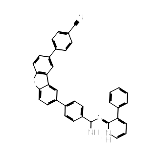 N#Cc1ccc(-c2ccc3oc4ccc(-c5ccc(C(N)/N=c6\[nH]cccc6-c6ccccc6)cc5)cc4c3c2)cc1